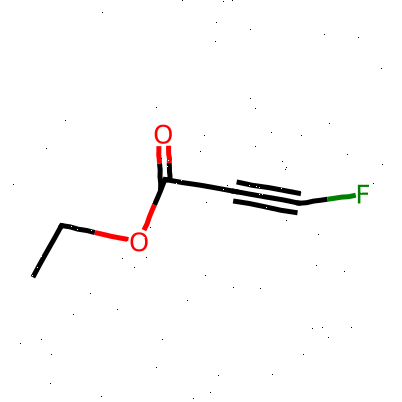 CCOC(=O)C#CF